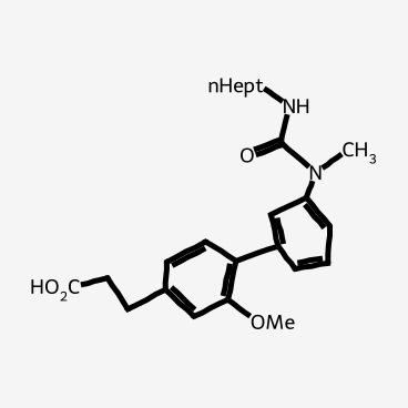 CCCCCCCNC(=O)N(C)c1cccc(-c2ccc(CCC(=O)O)cc2OC)c1